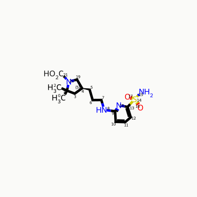 CC1(C)C[C@H](CCCNc2cccc(S(N)(=O)=O)n2)CN1C(=O)O